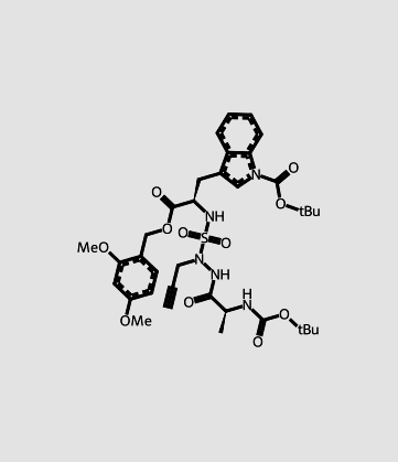 C#CCN(NC(=O)[C@H](C)NC(=O)OC(C)(C)C)S(=O)(=O)N[C@H](Cc1cn(C(=O)OC(C)(C)C)c2ccccc12)C(=O)OCc1ccc(OC)cc1OC